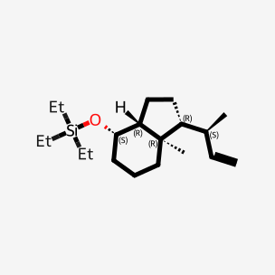 C=C[C@H](C)[C@H]1CC[C@H]2[C@@H](O[Si](CC)(CC)CC)CCC[C@]12C